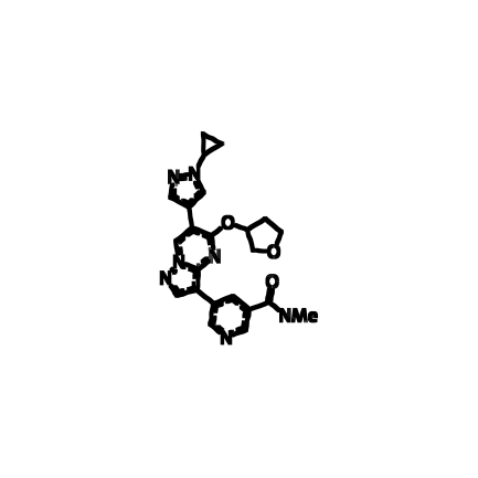 CNC(=O)c1cncc(-c2cnn3cc(-c4cnn(C5CC5)c4)c(OC4CCOC4)nc23)c1